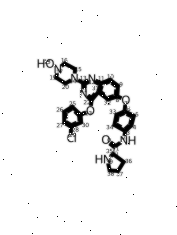 O=C(Nc1ccc(Oc2ccc3nc(N4CCN(O)CC4)nc(Oc4cccc(Cl)c4)c3c2)cc1)[C@@H]1CCCN1